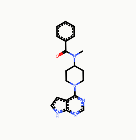 CN(C(=O)c1ccccc1)C1CCN(c2ncnc3[nH]ccc23)CC1